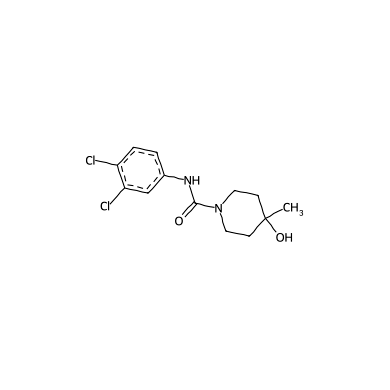 CC1(O)CCN(C(=O)Nc2ccc(Cl)c(Cl)c2)CC1